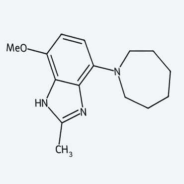 COc1ccc(N2CCCCCC2)c2nc(C)[nH]c12